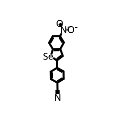 N#Cc1ccc(-c2cc3cc([N+](=O)[O-])ccc3[se]2)cc1